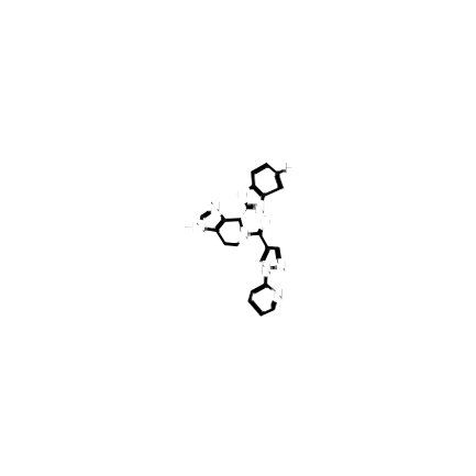 O=C(c1cnn(-c2ccccn2)c1)N1CCc2[nH]cnc2[C@H]1c1nc2cc(F)ccc2o1